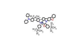 CC(C)(C)c1ccc(Nc2cc3c(cc2-c2ccc4c5cc6c(cc5n5c4c2Bc2oc4ccc(C(C)(C)C)cc4c2-5)oc2ccccc26)C(C)(C)c2cc(N(c4ccccc4)c4ccccc4)ccc2-3)cc1